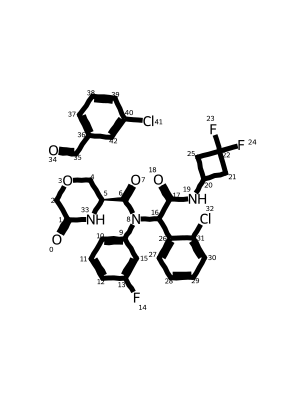 O=C1COC[C@@H](C(=O)N(c2cccc(F)c2)C(C(=O)NC2CC(F)(F)C2)c2ccccc2Cl)N1.O=Cc1cccc(Cl)c1